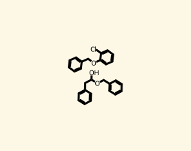 Clc1ccccc1OCc1ccccc1.OC(Cc1ccccc1)OCc1ccccc1